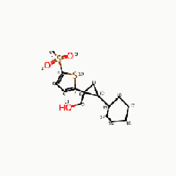 CS(=O)(=O)c1ccc(C2(CO)CC2C2CCCCC2)s1